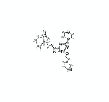 C(=NNc1nc(OCCc2cccnc2)nc(N2CCOCC2)n1)c1c[nH]c2ccccc12